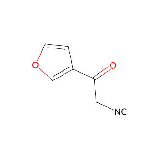 [C-]#[N+]CC(=O)c1ccoc1